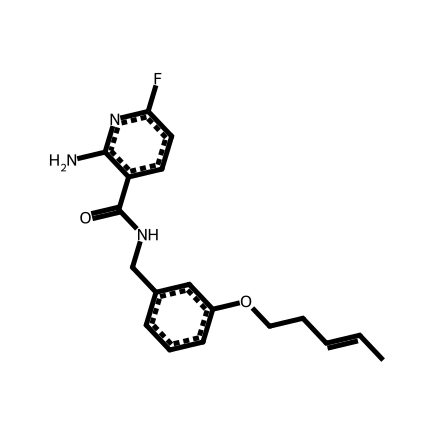 CC=CCCOc1cccc(CNC(=O)c2ccc(F)nc2N)c1